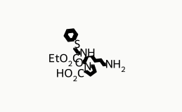 CCOC(=O)C(CSc1ccccc1)N[C@@H](CCCCN)C(=O)N1CCC[C@H]1C(=O)O